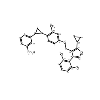 O=C(O)c1cccc(C2CC2c2ccc(OCc3c(-c4c(Cl)cccc4Cl)noc3C3CC3)nc2C(F)(F)F)c1